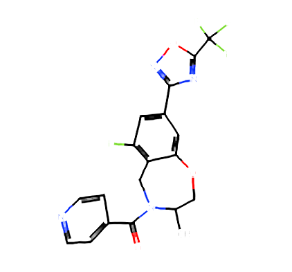 CC1COc2cc(-c3noc(C(F)(F)F)n3)cc(F)c2CN1C(=O)c1ccncc1